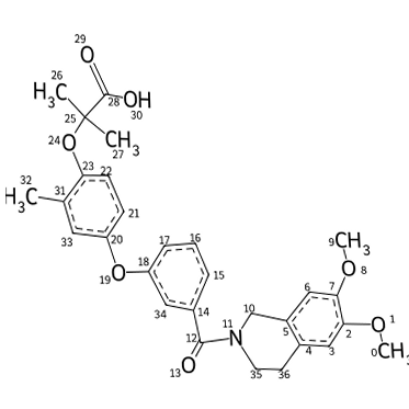 COc1cc2c(cc1OC)CN(C(=O)c1cccc(Oc3ccc(OC(C)(C)C(=O)O)c(C)c3)c1)CC2